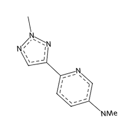 CNc1ccc(-c2cnn(C)n2)nc1